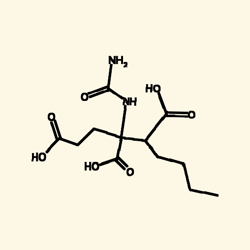 CCCCC(C(=O)O)C(CCC(=O)O)(NC(N)=O)C(=O)O